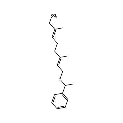 C/C(=C\COC(C)c1ccccc1)CC/C=C(\C)CC(Cl)(Cl)Cl